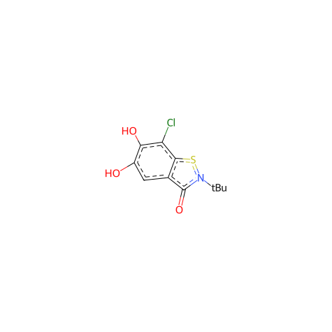 CC(C)(C)n1sc2c(Cl)c(O)c(O)cc2c1=O